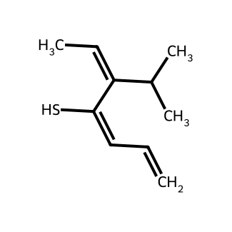 C=C/C=C(S)\C(=C/C)C(C)C